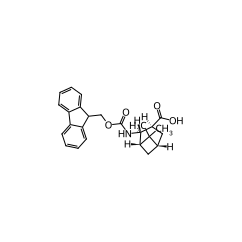 CC1(C)[C@@H]2C[C@H](C(=O)O)[C@@H](NC(=O)OCC3c4ccccc4-c4ccccc43)[C@H]1C2